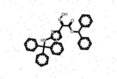 O=C(OC(c1ccccc1)c1ccccc1)/C(=N\O)c1csc(NC(c2ccccc2)(c2ccccc2)c2ccccc2)n1